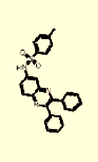 Cc1ccc(S(=O)(=O)Nc2ccc3nc(-c4ccccc4)c(-c4ccccc4)nc3c2)cc1